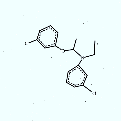 CCN(c1cccc(Cl)c1)C(C)Oc1cccc(Cl)c1